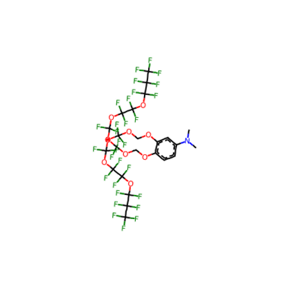 CN(C)c1ccc(OCOC(F)(F)OC(F)(F)OC(F)(F)C(F)(F)OC(F)(F)C(F)(F)C(F)(F)F)c(OCOC(F)(F)OC(F)(F)OC(F)(F)C(F)(F)OC(F)(F)C(F)(F)C(F)(F)F)c1